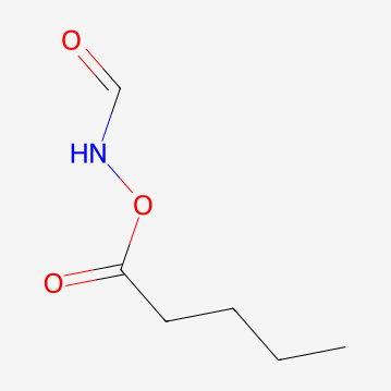 CCCCC(=O)ONC=O